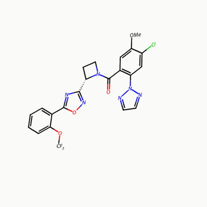 COc1cc(C(=O)N2CC[C@H]2c2noc(-c3ccccc3OC(F)(F)F)n2)c(-n2nccn2)cc1Cl